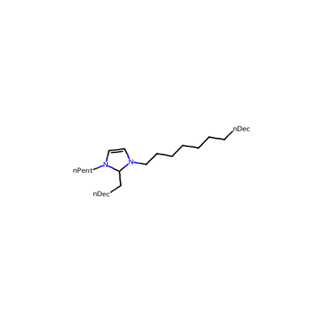 CCCCCCCCCCCCCCCCCN1C=CN(CCCCC)C1CCCCCCCCCCC